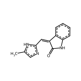 Cc1cnc(C=C2C(=O)Nc3ccccc32)[nH]1